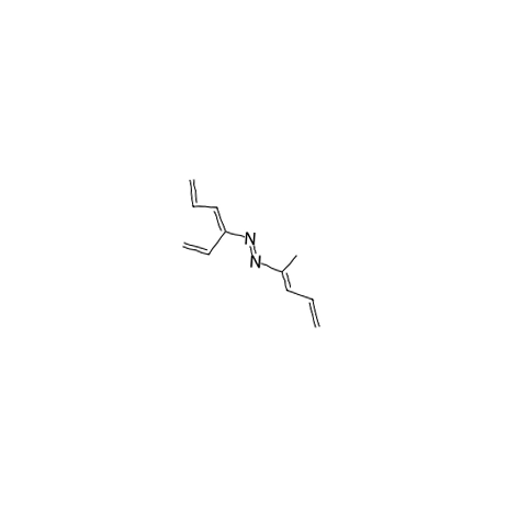 C=C/C=C(C)/N=N/C(C=C)=C/C=C